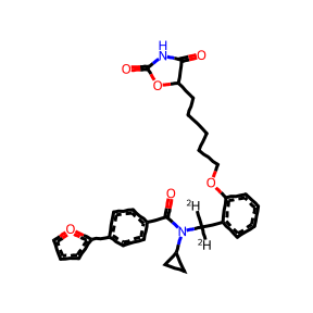 [2H]C([2H])(c1ccccc1OCCCCCC1OC(=O)NC1=O)N(C(=O)c1ccc(-c2ccco2)cc1)C1CC1